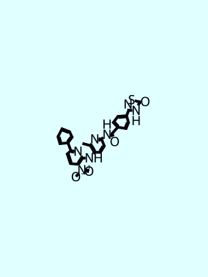 Cc1nc(NC(=O)c2ccc(-c3nsc(=O)[nH]3)cc2)ccc1Nc1nc(-c2ccccc2)ccc1[N+](=O)[O-]